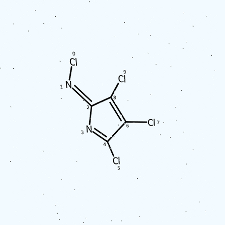 ClN=C1N=C(Cl)C(Cl)=C1Cl